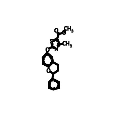 COC(=O)c1sc(Oc2ccc3c(c2)CCC(c2ccccc2)O3)nc1C